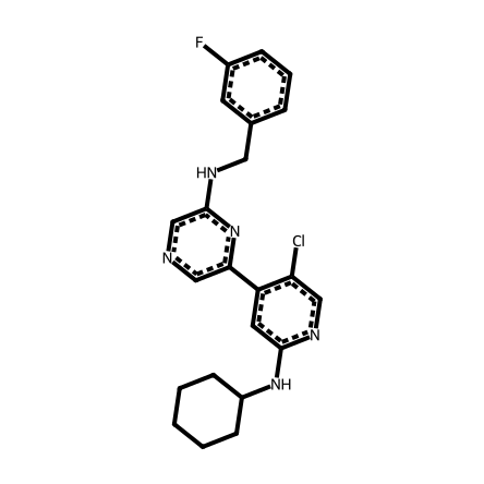 Fc1cccc(CNc2cncc(-c3cc(NC4CCCCC4)ncc3Cl)n2)c1